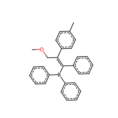 COC/C(=C(\B(c1ccccc1)c1ccccc1)c1ccccc1)c1ccc(C)cc1